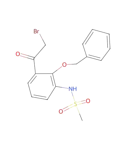 CS(=O)(=O)Nc1cccc(C(=O)CBr)c1OCc1ccccc1